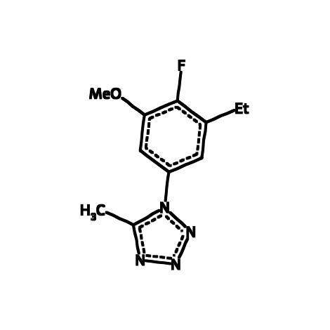 CCc1cc(-n2nnnc2C)cc(OC)c1F